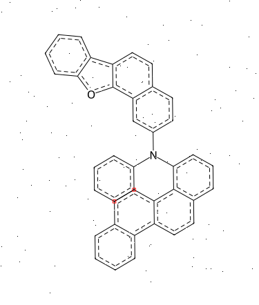 c1ccc(N(c2ccc3ccc4c5ccccc5oc4c3c2)c2cccc3ccc4c5ccccc5ccc4c23)cc1